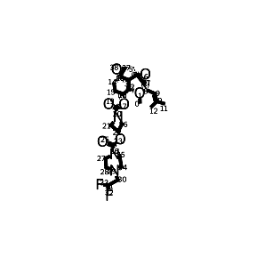 CO[C@H]1C([C@@]2(C)O[C@@H]2CC=C(C)C)[C@]2(CC[C@H]1OC(=O)N1CC(OC(=O)N3CCN(CC(F)F)CC3)C1)CO2